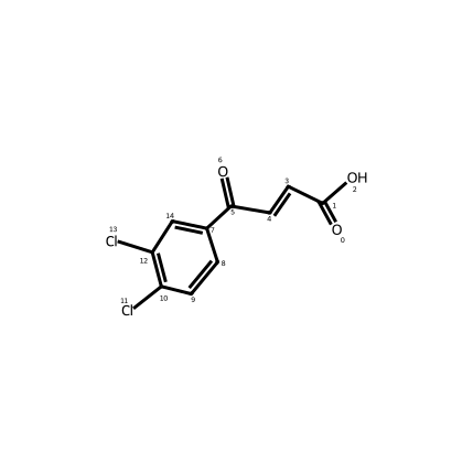 O=C(O)C=CC(=O)c1ccc(Cl)c(Cl)c1